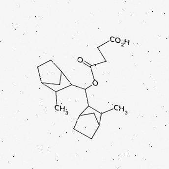 CC1C2CCC(C2)C1C(OC(=O)CCC(=O)O)C1C2CCC(C2)C1C